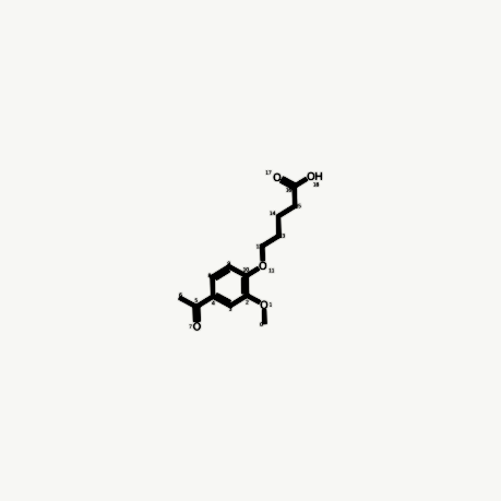 COc1cc(C(C)=O)ccc1OCCCCC(=O)O